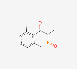 Cc1cccc(C)c1C(=O)C(C)P=O